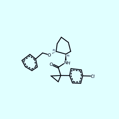 O=C(N[C@@H]1CCCC[C@H]1OCc1ccccc1)C1(c2ccc(Cl)cc2)CC1